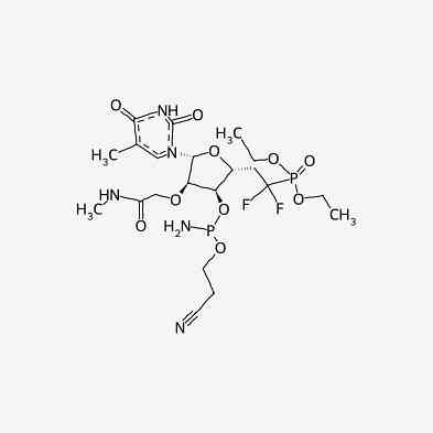 CCOP(=O)(OCC)C(F)(F)C[C@H]1O[C@@H](n2cc(C)c(=O)[nH]c2=O)[C@H](OCC(=O)NC)[C@@H]1OP(N)OCCC#N